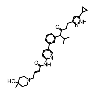 CC(C)C(C(=O)CCc1cc(C2CC2)[nH]n1)c1cccc(-c2ccc(NC(=O)/C=C/CN3CCC(C)(O)CC3)nc2)c1